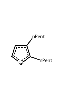 CCCCCc1cc[se]c1CCCCC